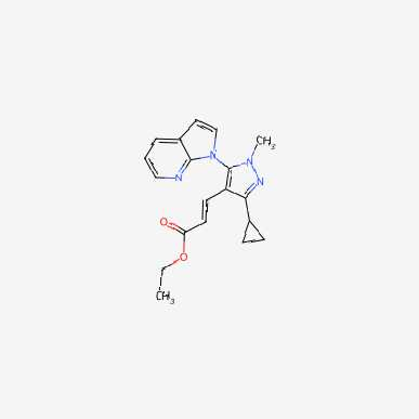 CCOC(=O)/C=C/c1c(C2CC2)nn(C)c1-n1ccc2cccnc21